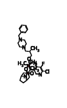 CC(COc1nc(N2CC3CCC(C2)N3C(=O)OC(C)(C)C)c2cnc(Cl)c(F)c2n1)CN1CCN(Cc2ccccc2)CC1